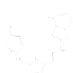 Cc1cccc2sc(NC(=O)Cc3csc(Nc4ccc(Cl)cn4)n3)nc12